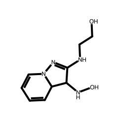 OCCNC1=NN2C=CC=CC2C1NO